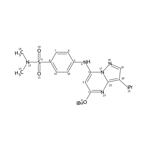 CC(C)COc1cc(Nc2ccc(S(=O)(=O)N(C)C)cc2)n2ncc(C(C)C)c2n1